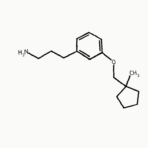 CC1(COc2cccc(CCCN)c2)CCCC1